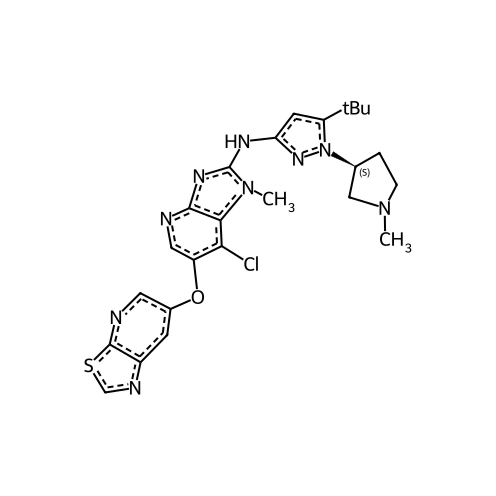 CN1CC[C@H](n2nc(Nc3nc4ncc(Oc5cnc6scnc6c5)c(Cl)c4n3C)cc2C(C)(C)C)C1